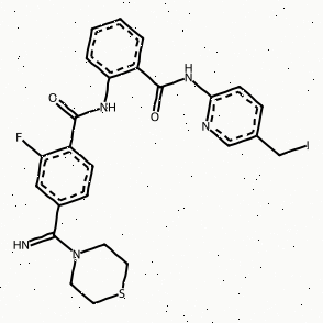 N=C(c1ccc(C(=O)Nc2ccccc2C(=O)Nc2ccc(CI)cn2)c(F)c1)N1CCSCC1